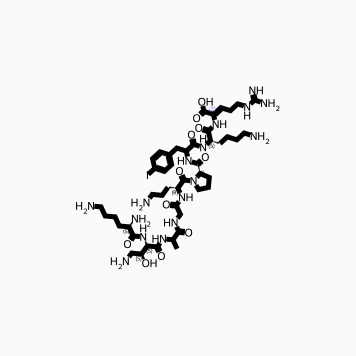 CC(NC(=O)[C@@H](NC(=O)[C@@H](N)CCCCN)[C@@H](O)CN)C(=O)NCC(=O)N[C@H](CCCN)C(=O)N1CCC[C@H]1C(=O)NC(Cc1ccc(I)cc1)C(=O)N[C@@H](CCCCN)C(=O)N/C(=C\CCNC(=N)N)C(=O)O